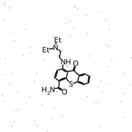 CCN(CC)CCNc1ccc(C(N)=O)c2sc3ccccc3c(=O)c12